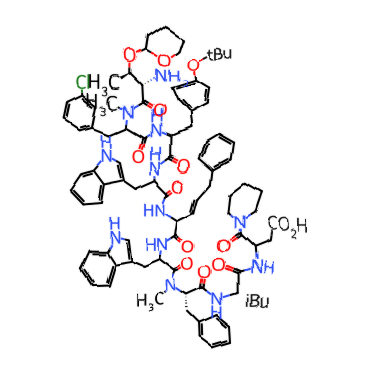 CC[C@H](C)C(NC(=O)[C@H](Cc1ccccc1)N(C)C(=O)C(Cc1c[nH]c2ccccc12)NC(=O)C(C=CCc1ccccc1)NC(=O)C(Cc1c[nH]c2ccccc12)NC(=O)C(Cc1ccc(OC(C)(C)C)cc1)NC(=O)C(Cc1cccc(Cl)c1)N(C)C(=O)[C@@H](N)[C@@H](C)OC1CCCCO1)C(=O)NC(CC(=O)O)C(=O)N1CCCCC1